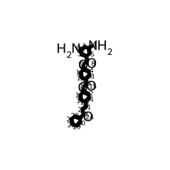 Nc1cc(N)cc(C(=O)Oc2ccc(C(=O)Oc3ccc(C=CC(=O)c4ccccc4)cc3)cc2)c1